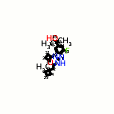 CC1(CC(=O)Nc2nc3c(F)cc(C(C)(C)O)cc3n2C2CCC2)CCC1